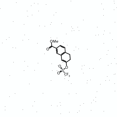 COC(=O)c1ccc2c(c1)C=C(OS(=O)(=O)C(F)(F)F)CC2